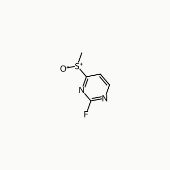 C[S+]([O-])c1ccnc(F)n1